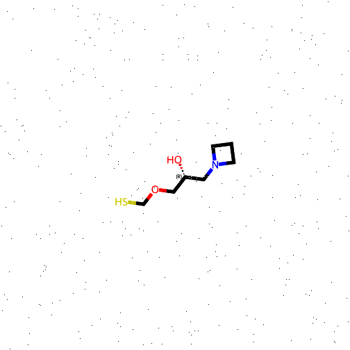 O[C@@H](COCS)CN1CCC1